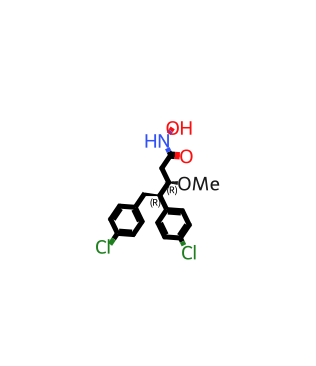 CO[C@H](CC(=O)NO)[C@H](Cc1ccc(Cl)cc1)c1ccc(Cl)cc1